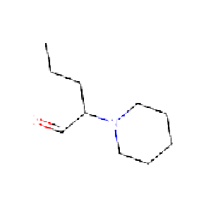 CCCC(C=O)N1CC[CH]CC1